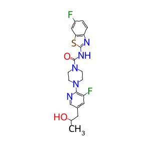 CC(O)Cc1cnc(N2CCN(C(=O)Nc3nc4ccc(F)cc4s3)CC2)c(F)c1